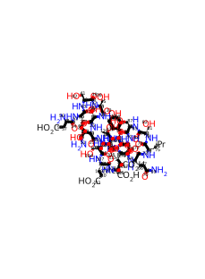 CSCC[C@H](NC(=O)[C@H](Cc1ccc(O)cc1)NC(=O)[C@H](C)NC(=O)[C@@H](NC(=O)[C@H](CO)NC(=O)[C@H](CO)NC(=O)[C@H](CO)NC(=O)[C@H](CCCCN)NC(=O)[C@@H](N)CC(=O)O)[C@@H](C)O)C(=O)N[C@@H](CCC(N)=O)C(=O)N[C@@H](CC(C)C)C(=O)N[C@@H](CO)C(=O)N[C@@H](CO)C(=O)N[C@@H](CC(C)C)C(=O)N[C@H](C(=O)N[C@@H](CO)C(=O)N[C@@H](CCC(=O)O)C(=O)N[C@@H](CC(=O)O)C(=O)O)[C@@H](C)O